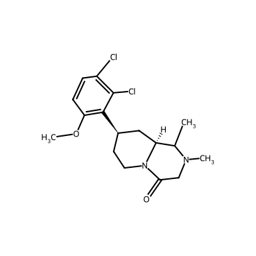 COc1ccc(Cl)c(Cl)c1[C@@H]1CCN2C(=O)CN(C)C(C)[C@@H]2C1